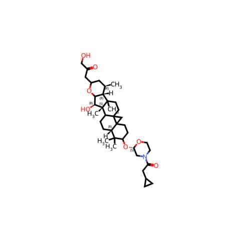 C[C@@H]1CC(CC(=O)CO)OC2[C@H]1C1(C)CCC34CC35CCC(O[C@H]3CN(C(=O)CC6CC6)CCO3)C(C)(C)[C@@H]5CCC4[C@]1(C)[C@H]2O